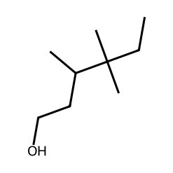 CCC(C)(C)C(C)CCO